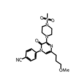 COCCCc1cn(-c2ccc(C#N)cc2)c(=O)c(N2CCN(S(C)(=O)=O)CC2)n1